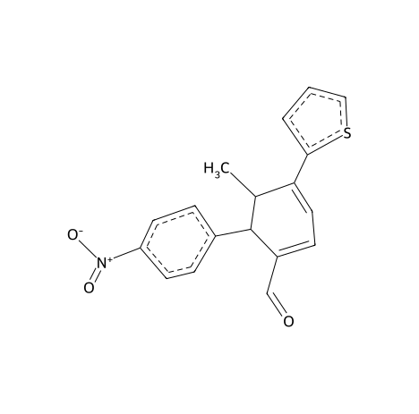 CC1C(c2cccs2)=CC=C(C=O)C1c1ccc([N+](=O)[O-])cc1